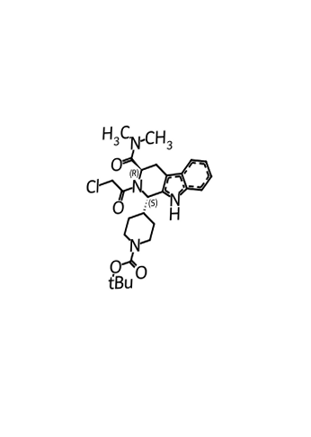 CN(C)C(=O)[C@H]1Cc2c([nH]c3ccccc23)[C@H](C2CCN(C(=O)OC(C)(C)C)CC2)N1C(=O)CCl